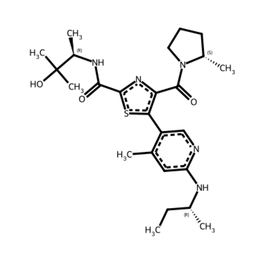 CC[C@@H](C)Nc1cc(C)c(-c2sc(C(=O)N[C@H](C)C(C)(C)O)nc2C(=O)N2CCC[C@@H]2C)cn1